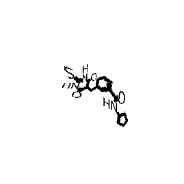 O=C(NC1CCCC1)c1ccc2c(c1)Cc1c([nH]c(=S)[nH]c1=O)O2